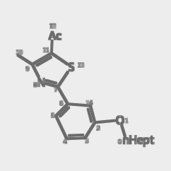 CCCCCCCOc1cccc(-c2nc(C)c(C(C)=O)s2)c1